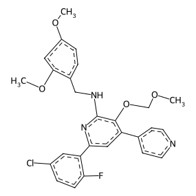 COCOc1c(-c2ccncc2)cc(-c2cc(Cl)ccc2F)nc1NCc1ccc(OC)cc1OC